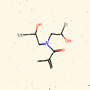 C=C(C)C(=O)N(CC(O)CC)CC(O)CC